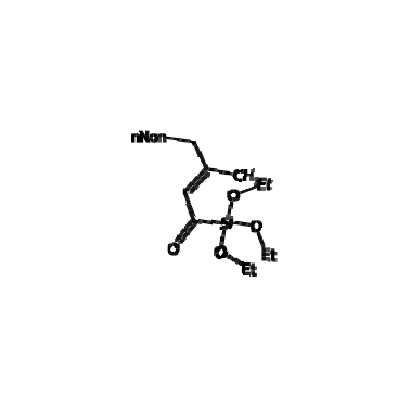 CCCCCCCCCCC(C)=CC(=O)[Si](OCC)(OCC)OCC